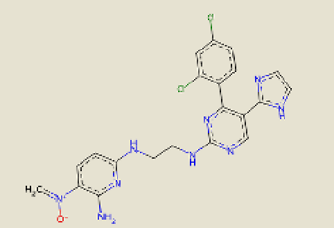 C=[N+]([O-])c1ccc(NCCNc2ncc(-c3ncc[nH]3)c(-c3ccc(Cl)cc3Cl)n2)nc1N